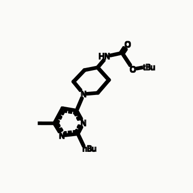 CCCCc1nc(C)cc(N2CCC(NC(=O)OC(C)(C)C)CC2)n1